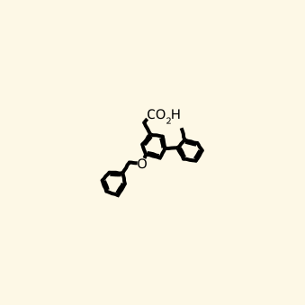 Cc1ccccc1-c1cc(CC(=O)O)cc(OCc2ccccc2)c1